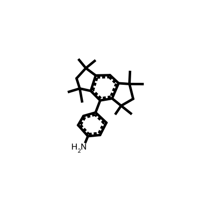 CC1(C)CC(C)(C)c2c1cc1c(c2-c2ccc(N)cc2)C(C)(C)CC1(C)C